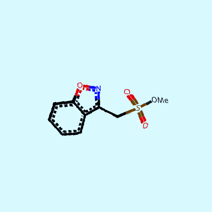 COS(=O)(=O)Cc1noc2ccccc12